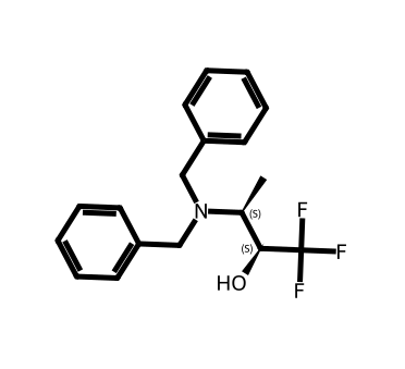 C[C@@H]([C@H](O)C(F)(F)F)N(Cc1ccccc1)Cc1ccccc1